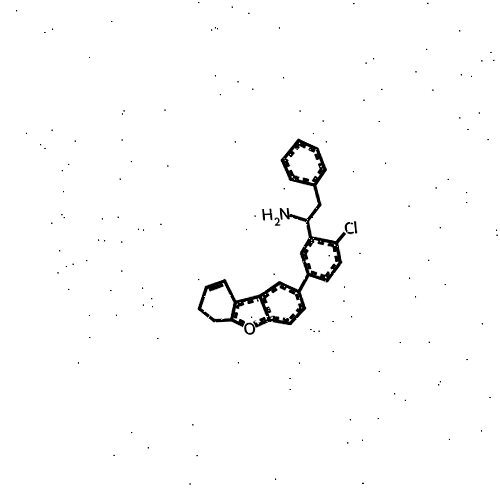 NC(Cc1ccccc1)c1cc(-c2ccc3oc4c(c3c2)C=CCC4)ccc1Cl